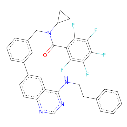 O=C(c1c(F)c(F)c(F)c(F)c1F)N(Cc1cccc(-c2ccc3ncnc(NCCc4ccccc4)c3c2)c1)C1CC1